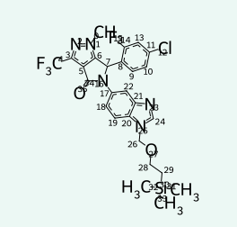 Cn1nc(C(F)(F)F)c2c1C(c1ccc(Cl)cc1F)N(c1ccc3c(c1)ncn3COCC[Si](C)(C)C)C2=O